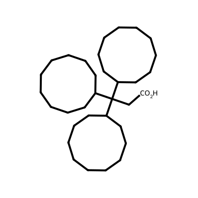 O=C(O)CC(C1CCCCCCCCC1)(C1CCCCCCCCC1)C1CCCCCCCCC1